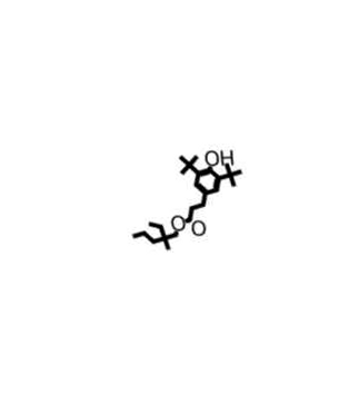 CCCC(C)(CC)COC(=O)CCc1cc(C(C)(C)C)c(O)c(C(C)(C)C)c1